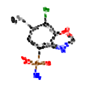 NS(=O)(=O)c1cc([N+](=O)[O-])c(Br)c2ocnc12